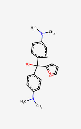 CN(C)c1ccc(C(O)(c2ccc(N(C)C)cc2)c2ccco2)cc1